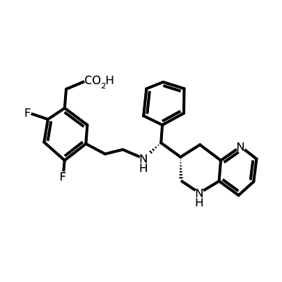 O=C(O)Cc1cc(CCN[C@H](c2ccccc2)[C@H]2CNc3cccnc3C2)c(F)cc1F